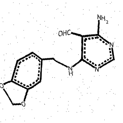 Nc1ncnc(NCc2ccc3c(c2)OCO3)c1C=O